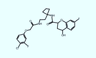 O=C(COc1ccc(Cl)c(F)c1)NCCC1(NC(=O)C2CC(O)c3ccc(F)cc3O2)CCC1